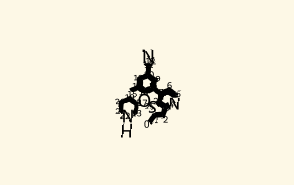 Cc1cc2nccc(-c3cc(C#N)cc(C)c3O[C@H]3CCCNC3)c2s1